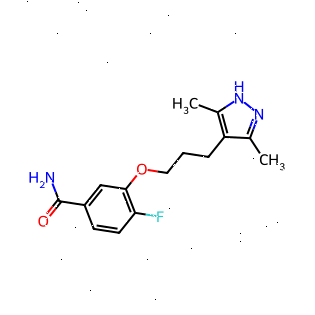 Cc1n[nH]c(C)c1CCCOc1cc(C(N)=O)ccc1F